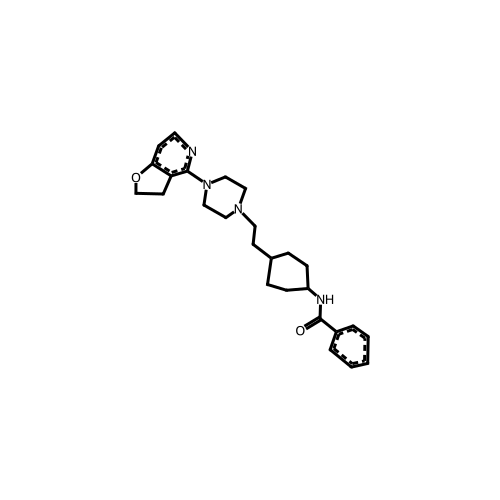 O=C(NC1CCC(CCN2CCN(c3nccc4c3CCO4)CC2)CC1)c1ccccc1